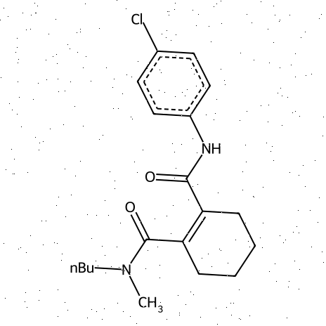 CCCCN(C)C(=O)C1=C(C(=O)Nc2ccc(Cl)cc2)CCCC1